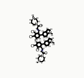 CN1CCCN(C(=O)/C=C/c2c(-c3ccc4c(ccn4C)c3)cc(Sc3cc(-c4ccc5c(ccn5C)c4)c(/C=C/C(=O)N4CCCN(C)CC4)c(Cl)c3Cl)c(Cl)c2Cl)CC1